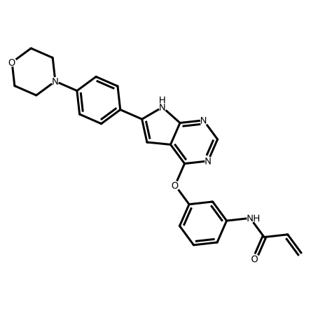 C=CC(=O)Nc1cccc(Oc2ncnc3[nH]c(-c4ccc(N5CCOCC5)cc4)cc23)c1